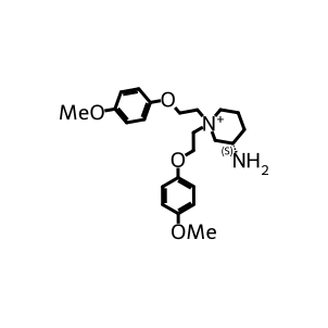 COc1ccc(OCC[N+]2(CCOc3ccc(OC)cc3)CCC[C@H](N)C2)cc1